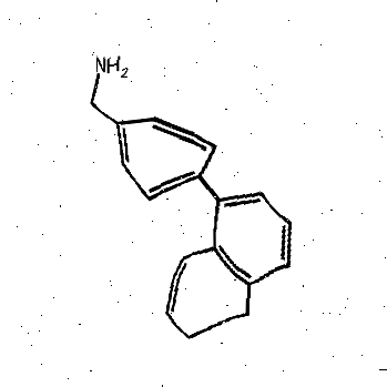 NCc1ccc(-c2cccc3c2C=CCC3)cc1